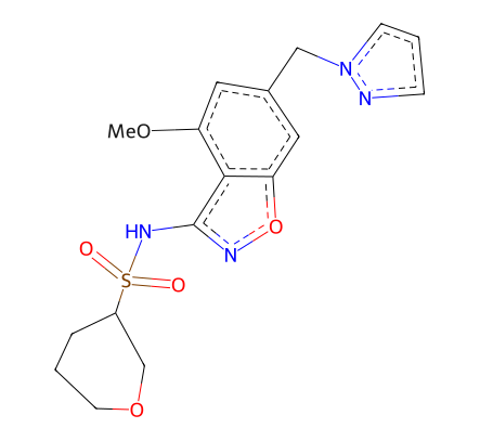 COc1cc(Cn2cccn2)cc2onc(NS(=O)(=O)C3CCCOC3)c12